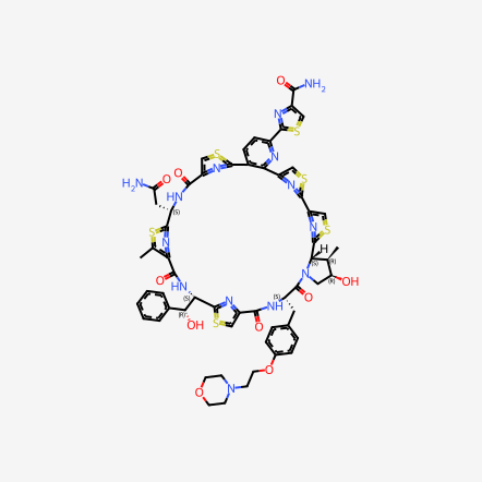 Cc1sc2nc1C(=O)N[C@@H]([C@H](O)c1ccccc1)c1nc(cs1)C(=O)N[C@@H](Cc1ccc(OCCN3CCOCC3)cc1)C(=O)N1C[C@H](O)[C@H](C)[C@H]1c1nc(cs1)-c1nc(cs1)-c1nc(-c3nc(C(N)=O)cs3)ccc1-c1nc(cs1)C(=O)N[C@H]2CC(N)=O